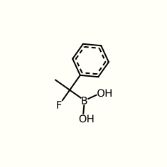 CC(F)(B(O)O)c1ccccc1